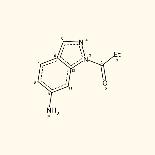 CCC(=O)n1ncc2ccc(N)cc21